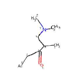 CC(=O)CC(=O)C(C)CN(C)C